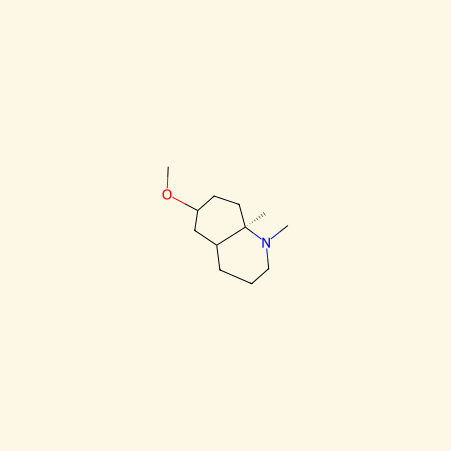 COC1CC[C@]2(C)C(CCCN2C)C1